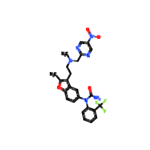 Cc1oc2ccc(N(C(N)=O)c3ccccc3C(F)(F)F)cc2c1CCN(C)Cc1ncc([N+](=O)[O-])cn1